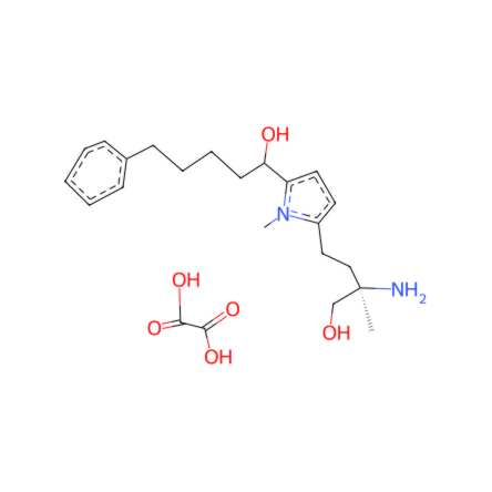 Cn1c(CC[C@@](C)(N)CO)ccc1C(O)CCCCc1ccccc1.O=C(O)C(=O)O